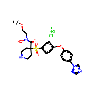 COCCN(O)C(=O)C1(S(=O)(=O)c2ccc(Oc3ccc(-n4cncn4)cc3)cc2)CCNCC1.Cl.Cl.Cl